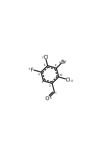 O=[C]c1cc(F)c(Cl)c(Br)c1Cl